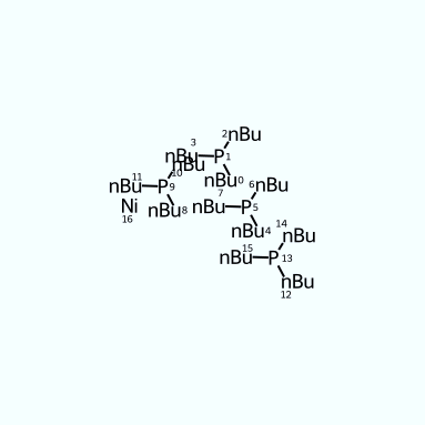 CCCCP(CCCC)CCCC.CCCCP(CCCC)CCCC.CCCCP(CCCC)CCCC.CCCCP(CCCC)CCCC.[Ni]